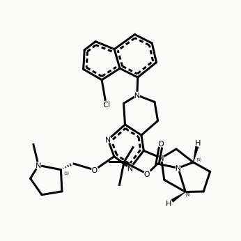 CN1CCC[C@H]1COc1nc2c(c(N3C[C@H]4CC[C@@H](C3)N4C(=O)OC(C)(C)C)n1)CCN(c1cccc3cccc(Cl)c13)C2